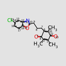 CC1=C(C)C(=O)C(CCCc2nc3cc(Cl)ccc3o2)=C(C)C1=O